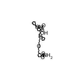 NS(=O)(=O)c1cccc(CCCCOCCCCCCN(Cc2ccccc2)CC(O)c2ccc(OCc3ccccc3)c3c2OCC(=O)N3)c1